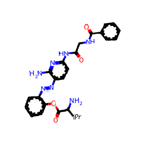 CC(C)C(N)C(=O)Oc1ccccc1/N=N/c1ccc(NC(=O)CNC(=O)c2ccccc2)nc1N